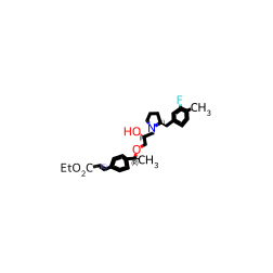 CCOC(=O)/C=C/c1ccc([C@@H](C)OC[C@H](O)CN2CCC[C@H]2Cc2ccc(C)c(F)c2)cc1